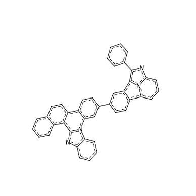 c1ccc(-c2nc3cccc4c5ccc(-c6ccc7c8ccc9ccccc9c8c8nc9ccccc9n8c7c6)cc5c2n34)cc1